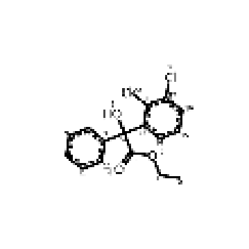 CCOC(=O)C(O)(c1ccccc1)c1cccc(Cl)c1Cl